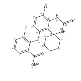 COC(=O)c1cccc(F)c1Oc1ccc(Cl)c2c1C1(CCCCC1)NC(=O)N2